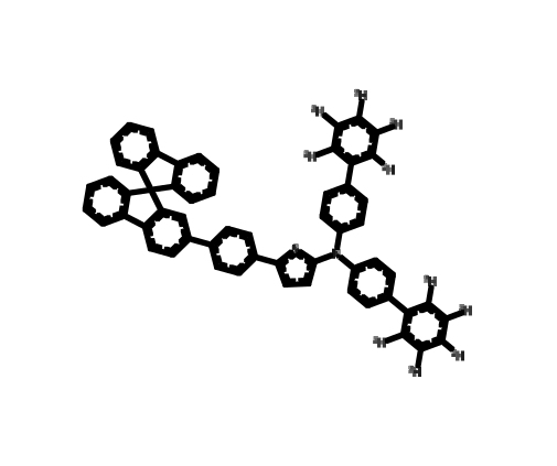 [2H]c1c([2H])c([2H])c(-c2ccc(N(c3ccc(-c4c([2H])c([2H])c([2H])c([2H])c4[2H])cc3)c3ccc(-c4ccc(-c5ccc6c(c5)C5(c7ccccc7-c7ccccc75)c5ccccc5-6)cc4)s3)cc2)c([2H])c1[2H]